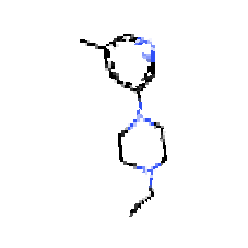 CCN1CCN(c2cncc(C)c2)CC1